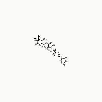 Cc1ccc(COCC(=O)OC[C@H]2CCC3C4CCC5NC(=O)C=C[C@]5(C)C4CC[C@@]32C)cc1